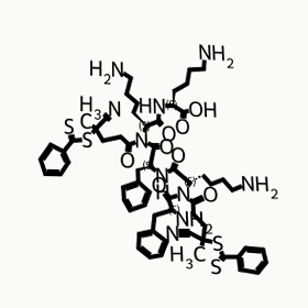 CC(C#N)(CCC(=O)N(C(=O)[C@H](Cc1ccccc1)NC(=O)[C@H](CCCCN)N(C(=O)CCC(C)(C#N)SC(=S)c1ccccc1)C(=O)[C@@H](N)Cc1ccccc1)[C@@H](CCCCN)C(=O)N[C@@H](CCCCN)C(=O)O)SC(=S)c1ccccc1